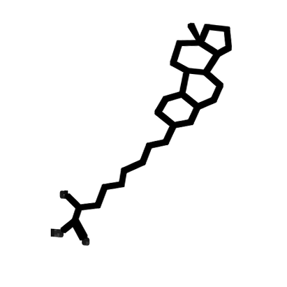 C[C@@]12CCCC1C1CCC3CC(CCCCCCCC(Cl)C(=O)O)CCC3C1CC2